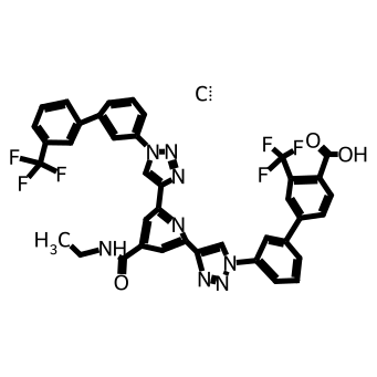 CCNC(=O)c1cc(-c2cn(-c3cccc(-c4cccc(C(F)(F)F)c4)c3)nn2)nc(-c2cn(-c3cccc(-c4ccc(C(=O)O)c(C(F)(F)F)c4)c3)nn2)c1.[C]